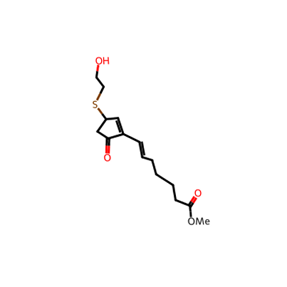 COC(=O)CCCCC=CC1=CC(SCCO)CC1=O